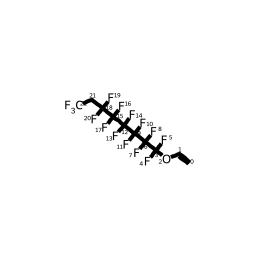 C=COC(F)(F)C(F)(F)C(F)(F)C(F)(F)C(F)(F)C(F)(F)CC(F)(F)F